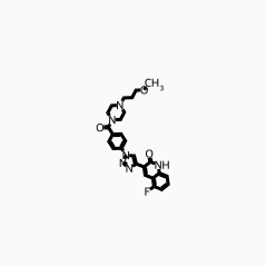 COCCCN1CCN(C(=O)c2ccc(-n3cc(-c4cc5c(F)cccc5[nH]c4=O)nn3)cc2)CC1